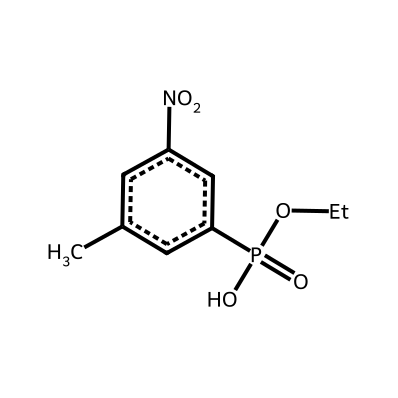 CCOP(=O)(O)c1cc(C)cc([N+](=O)[O-])c1